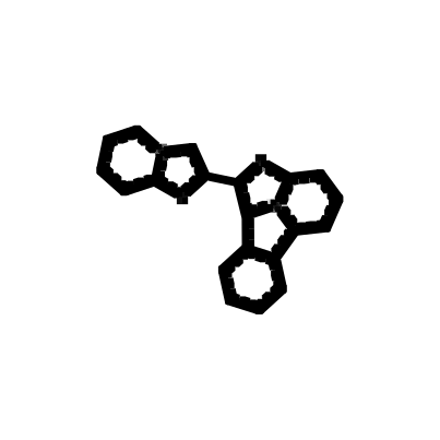 c1ccc2c(c1)c1cccc3nc(-c4cn5ccccc5n4)c2n31